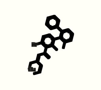 C=C(/C=C(\C=C/C)CC(C)(C)C)c1c(CC)ccc(-c2c(C)cccc2-c2ccccc2)c1C